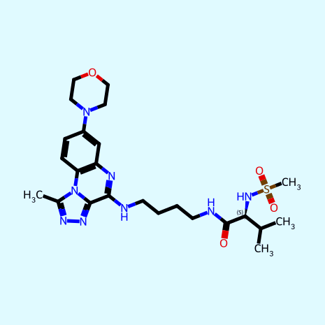 Cc1nnc2c(NCCCCNC(=O)[C@@H](NS(C)(=O)=O)C(C)C)nc3cc(N4CCOCC4)ccc3n12